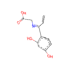 C=CC(=NCC(=O)O)c1ccc(O)cc1O